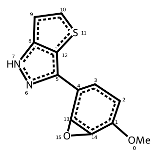 COc1ccc(-c2n[nH]c3ccsc23)c2c1O2